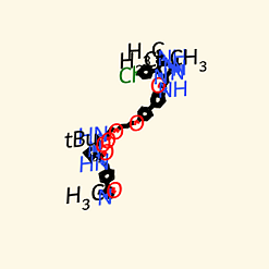 Cc1ncoc1-c1ccc(CNC(=O)[C@@H]2CCCN2C(=O)C(NC(=O)COCCCOc2ccc(-c3ccc(NC(=O)CC4N=C(c5ccc(Cl)cc5)c5c([nH]c(C)c5C)-n5c(C)nnc54)cc3)cc2)C(C)(C)C)cc1